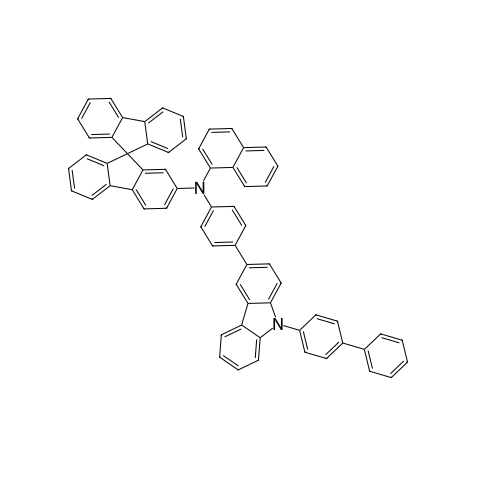 c1ccc(-c2ccc(-n3c4ccccc4c4cc(-c5ccc(N(c6ccc7c(c6)C6(c8ccccc8-c8ccccc86)c6ccccc6-7)c6cccc7ccccc67)cc5)ccc43)cc2)cc1